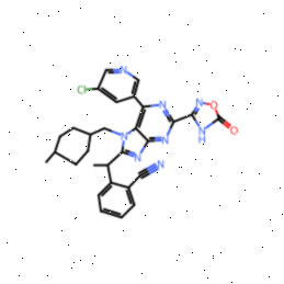 CC1CCC(Cn2c(C(C)c3ccccc3C#N)nc3nc(-c4noc(=O)[nH]4)nc(-c4cncc(Cl)c4)c32)CC1